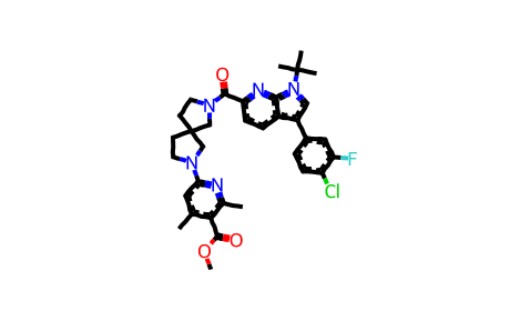 COC(=O)c1c(C)cc(N2CCC3(CCN(C(=O)c4ccc5c(-c6ccc(Cl)c(F)c6)cn(C(C)(C)C)c5n4)C3)C2)nc1C